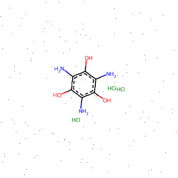 Cl.Cl.Cl.Nc1c(O)c(N)c(O)c(N)c1O